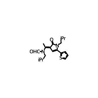 C/C(=C1/C=C(c2cccs2)N(CC(C)C)C1=O)N(C=O)CC(C)C